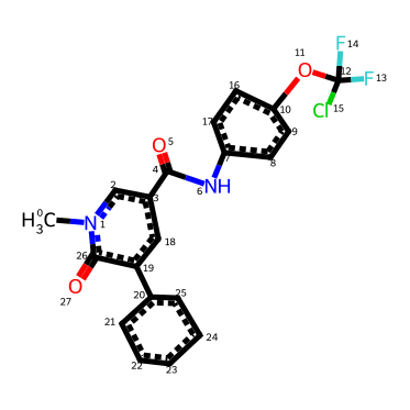 Cn1cc(C(=O)Nc2ccc(OC(F)(F)Cl)cc2)cc(-c2ccccc2)c1=O